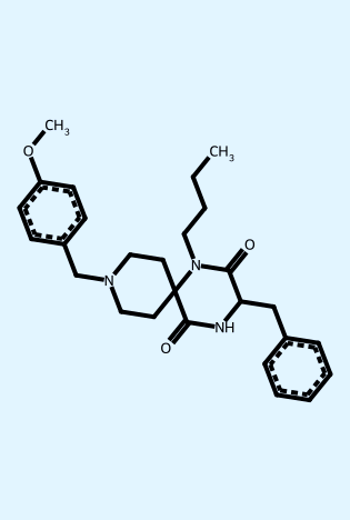 CCCCN1C(=O)C(Cc2ccccc2)NC(=O)C12CCN(Cc1ccc(OC)cc1)CC2